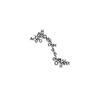 CCc1nc(NC(=O)c2ccccc2NC(=O)CCOCCOCCNC(=O)CN2CCN(c3ccc(Nc4ncc5c(C)c(C(C)=O)c(=O)n(C6CCCC6)c5n4)nc3)CC2)sc1C